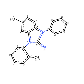 Cc1ccc2c(c1)n(-c1ccccc1C)c(=N)n2-c1ccccc1